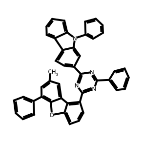 Cc1cc(-c2ccccc2)c2oc3cccc(-c4nc(-c5ccccc5)nc(-c5ccc6c7ccccc7n(-c7ccccc7)c6c5)n4)c3c2c1